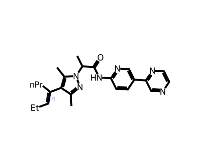 CC/C=C(\CCC)c1c(C)nn(C(C)C(=O)Nc2ccc(-c3cnccn3)cn2)c1C